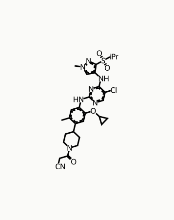 Cc1cc(Nc2ncc(Cl)c(Nc3cn(C)nc3S(=O)(=O)C(C)C)n2)c(OC2CC2)cc1C1CCN(C(=O)CC#N)CC1